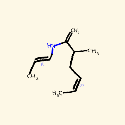 C=C(N/C=C/C)C(C)C/C=C\C